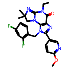 CCN1C(=O)c2nc(-c3ccc(OC)nc3)n(Cc3ccc(F)cc3F)c2N2CC(C)(C)N=C12